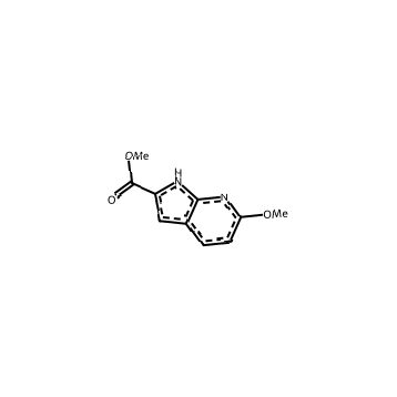 COC(=O)c1cc2ccc(OC)nc2[nH]1